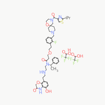 CC(C)c1nc(C(=O)N2CCOC3(CCN(Cc4cccc(CCOCCC(=O)N(CCNCCc5ccc(O)c6c5OCC(=O)N6)[C@H](C)c5ccccc5)c4F)CC3)C2)cs1.O=C(O)C(F)(F)F.O=C(O)C(F)(F)F